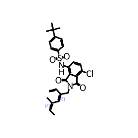 C=C/C(=C\C(C)=C/C)CN1C(=O)c2c(Cl)ccc(NS(=O)(=O)c3ccc(C(C)(C)C)cc3)c2C1=O